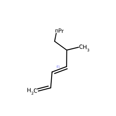 C=C/C=C/C(C)CCCC